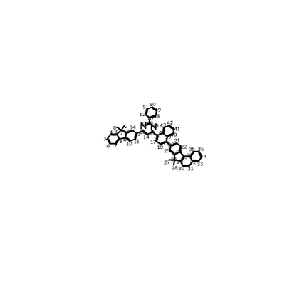 CC1(C)c2ccccc2-c2ccc(-c3cc(-c4ccc(-c5ccc6c(c5)C(C)(C)c5ccc7ccccc7c5-6)c5ccccc45)nc(-c4ccccc4)n3)cc21